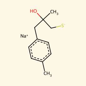 Cc1ccc(CC(C)(O)C[S-])cc1.[Na+]